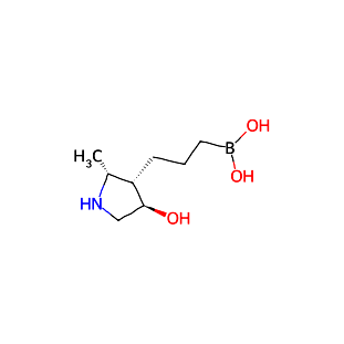 C[C@H]1NC[C@H](O)[C@H]1CCCB(O)O